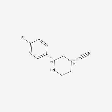 N#C[C@@H]1CCN[C@H](c2ccc(F)cc2)C1